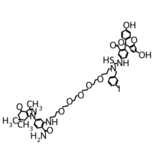 Cc1nn(-c2ccc(C(N)=O)c(NCCCOCCOCCOCCOCCOCCCN(Cc3cccc(I)c3)C(S)Nc3ccc4c(c3)C(=O)OC43c4ccc(O)cc4Oc4cc(O)ccc43)c2)c2c1C(=O)CC(C)(C)C2